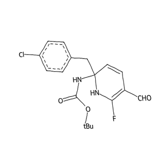 CC(C)(C)OC(=O)NC1(Cc2ccc(Cl)cc2)C=CC(C=O)=C(F)N1